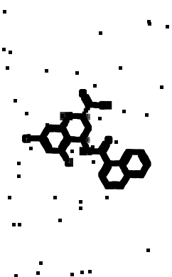 O=C(N[C@@H]1C[C@@H](C(=O)O)Nc2cc(Cl)cc(Cl)c21)c1cccc2ccccc12